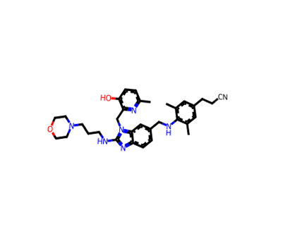 Cc1ccc(O)c(Cn2c(NCCCN3CCOCC3)nc3ccc(CNc4c(C)cc(CCC#N)cc4C)cc32)n1